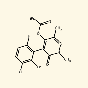 Cc1nn(C)c(=O)c(-c2c(F)ccc(Cl)c2Br)c1OC(=O)C(C)C